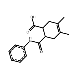 CC1=C(C)CC(C(=O)Nc2ccccc2)C(C(=O)O)C1